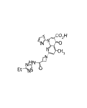 CCc1nsc(NC(=O)C2CN(c3cc(C)c4c(=O)c(C(=O)O)cn(-c5nccs5)c4n3)C2)n1